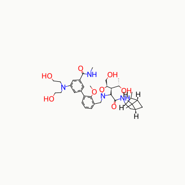 CNC(=O)c1cc(-c2cccc(CN3O[C@@H](CO)[C@@H]([C@H](C)O)C3C(=O)N[C@H]3C[C@H]4C[C@@H]([C@@H]3C)C4(C)C)c2OC)cc(N(CCO)CCO)c1